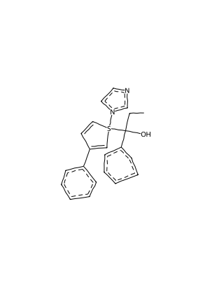 CCC(O)(c1ccccc1)S1(n2ccnc2)C=CC(c2ccccc2)=C1